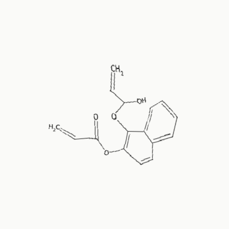 C=CC(=O)Oc1ccc2ccccc2c1OC(O)C=C